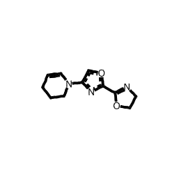 C1=CN(c2coc(C3=NCCO3)n2)CCC1